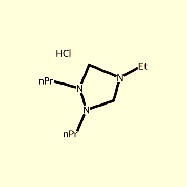 CCCN1CN(CC)CN1CCC.Cl